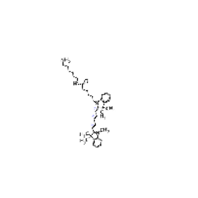 C[N+]1=C(/C=C/C=C/C=C2/N(CCCCCC(=O)NCCCCCCN)c3ccccc3C2(C)C)C(C)(C)c2ccccc21